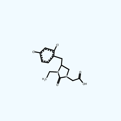 CCN1C(=O)N(CC(=O)O)CC1Cc1ccc(Cl)cc1Cl